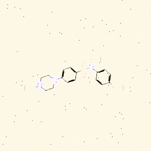 CN1CCN(c2ccc(S(=O)(=O)N(C)c3ccc(C=O)cc3)cc2)CC1